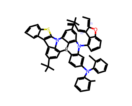 C=C/C=c1\c(=C/C)oc2cccc(N3c4cc(N(c5ccccc5C)c5ccccc5C)ccc4B4c5c3cc(C(C)(C)C)cc5-n3c5sc6ccccc6c5c5cc(C(C)(C)C)cc4c53)c12